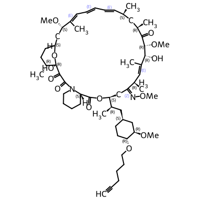 C#CCCCCO[C@@H]1CC[C@@H](C[C@@H](C)[C@@H]2C/C(=N/OC)[C@H](C)/C=C(\C)[C@@H](O)[C@@H](OC)C(=O)[C@H](C)C[C@H](C)/C=C/C=C/C=C(\C)[C@@H](OC)C[C@@H]3CC[C@@H](C)[C@@](O)(O3)C(=O)C(=O)N3CCCC[C@H]3C(=O)O2)C[C@H]1OC